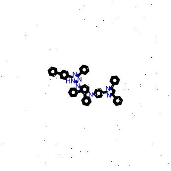 c1ccc(C2=NC(c3ccc(-c4ccccc4)cc3)NC(n3c4ccccc4c4c5c6ccccc6n(-c6ccc(-c7nc(-c8ccccc8)cc(-c8ccccc8)n7)cc6)c5ccc43)=N2)cc1